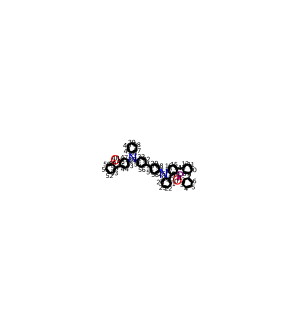 O=P1(c2ccccc2)c2ccccc2-c2ccc3c(c21)c1ccccc1n3-c1ccc(-c2ccc(N(c3ccccc3)c3ccc4c(c3)oc3ccccc34)cc2)cc1